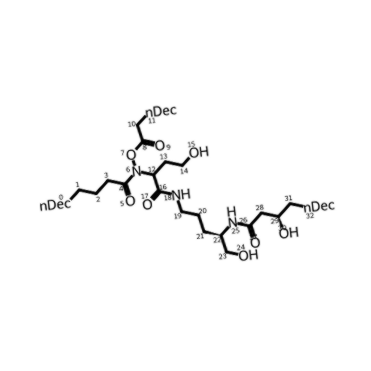 CCCCCCCCCCCCCC(=O)N(OC(=O)CCCCCCCCCCC)C(CCO)C(=O)NCCC[C@H](CO)NC(=O)C[C@H](O)CCCCCCCCCCC